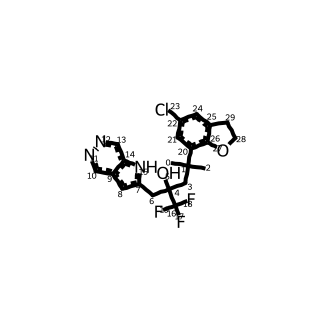 CC(C)(CC(O)(Cc1cc2cnncc2[nH]1)C(F)(F)F)c1cc(Cl)cc2c1OCC2